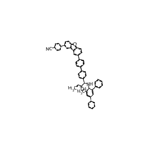 C=C[C@@H](C)C(NC1C(C)=C=C(c2ccccc2)C=C1c1ccccc1)c1ccc(-c2ccc(-c3ccc4oc5ccc(-c6ccc(C#N)cc6)cc5c4c3)cc2)cc1